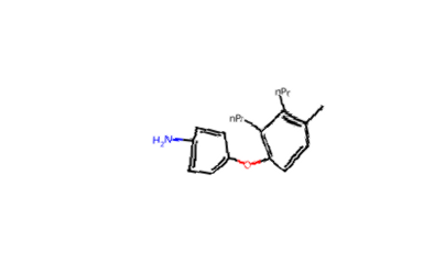 CCCc1c(C)ccc(Oc2ccc(N)cc2)c1CCC